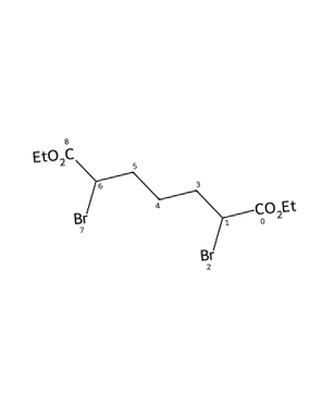 CCOC(=O)C(Br)CCCC(Br)C(=O)OCC